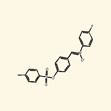 Cc1ccc(S(=O)(=O)Oc2ccc(C=[N+]([O-])c3ccc(F)cc3)cc2)cc1